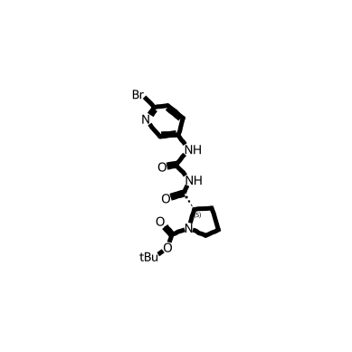 CC(C)(C)OC(=O)N1CCC[C@H]1C(=O)NC(=O)Nc1ccc(Br)nc1